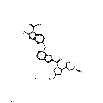 CNC(=O)n1c(C)cc2cc(Oc3ccnc4cc(C(=O)N5CC(OC)CC5C(O[SiH](C)C)C(C)(C)C)sc34)ccc21